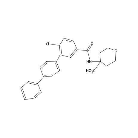 O=C(NC1(C(=O)O)CCOCC1)c1ccc(Cl)c(-c2ccc(-c3ccccc3)cc2)c1